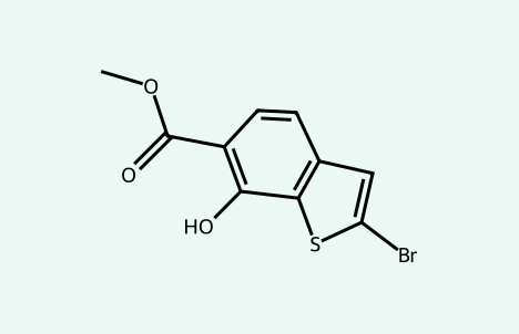 COC(=O)c1ccc2cc(Br)sc2c1O